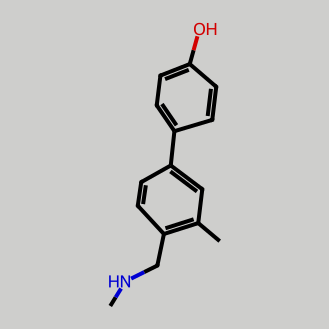 CNCc1ccc(-c2ccc(O)cc2)cc1C